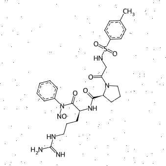 Cc1ccc(S(=O)(=O)NCC(=O)N2CCC[C@H]2C(=O)N[C@@H](CCCNC(=N)N)C(=O)N([N+]=O)c2ccccc2)cc1